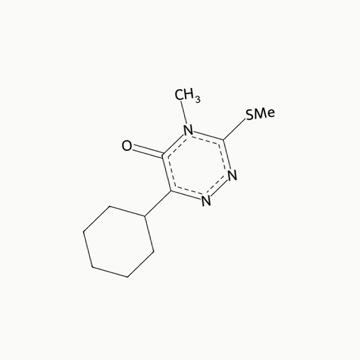 CSc1nnc(C2CCCCC2)c(=O)n1C